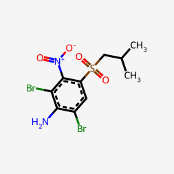 CC(C)CS(=O)(=O)c1cc(Br)c(N)c(Br)c1[N+](=O)[O-]